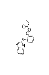 CCC(=O)OOc1ccccc1Sc1ccc2ccccc2n1